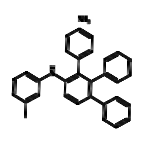 Cc1cccc(Nc2ccc(-c3ccccc3)c(-c3ccccc3)c2-c2ccccc2)c1.N